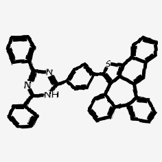 c1ccc(C2=NC(c3ccccc3)NC(c3ccc(-c4sc5c6c(cc7ccccc75)-c5ccccc5-c5ccccc5-c46)cc3)=N2)cc1